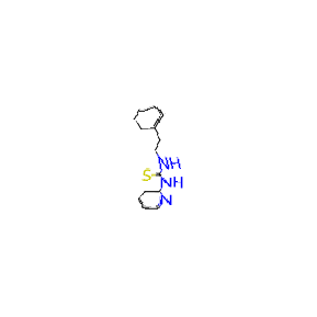 S=C(NCCC1=CCCCC1)Nc1ccccn1